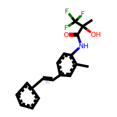 Cc1cc(/C=C/c2ccccc2)ccc1NC(=O)C(C)(O)C(F)(F)F